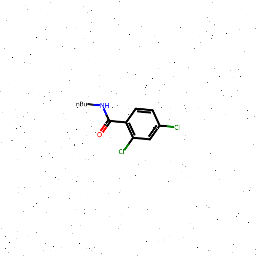 CCCCNC(=O)c1ccc(Cl)cc1Cl